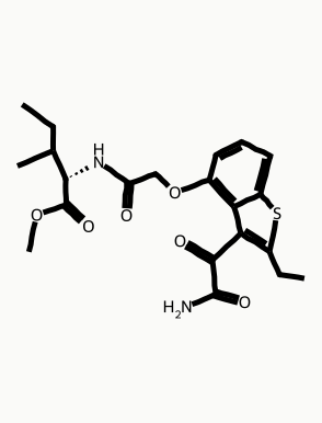 CCc1sc2cccc(OCC(=O)N[C@H](C(=O)OC)C(C)CC)c2c1C(=O)C(N)=O